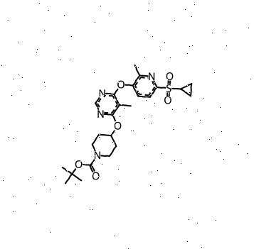 Cc1nc(S(=O)(=O)C2CC2)ccc1Oc1ncnc(OC2CCN(C(=O)OC(C)(C)C)CC2)c1C